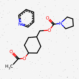 CC(=O)OC1CCC(COC(=O)N2CCCC2)CC1.c1ccncc1